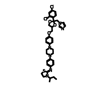 CCC(C)N1CCSC1=Nc1ccc(N2CCN(c3ccc(OCC4COC(Cn5ccnc5)(c5ccc(Cl)cc5Cl)O4)cc3)CC2)cc1